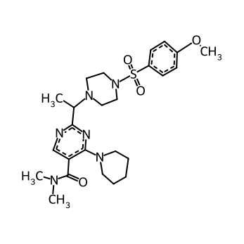 COc1ccc(S(=O)(=O)N2CCN(C(C)c3ncc(C(=O)N(C)C)c(N4CCCCC4)n3)CC2)cc1